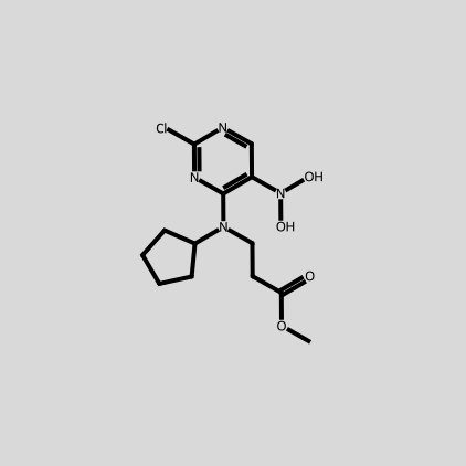 COC(=O)CCN(c1nc(Cl)ncc1N(O)O)C1CCCC1